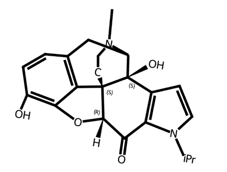 CC(C)n1ccc2c1C(=O)[C@@H]1Oc3c(O)ccc4c3[C@@]13CCN(C)C(C4)[C@]23O